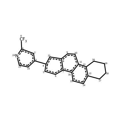 FC(F)(F)c1cc(-c2ccc3c(ccc4c5c(ccc43)CCCC5)c2)ccn1